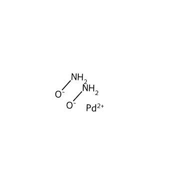 N[O-].N[O-].[Pd+2]